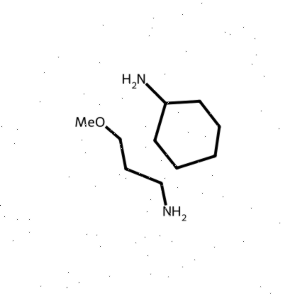 COCCCN.NC1CCCCC1